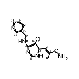 C/C(=C\C1NC=NC(NCc2cccnc2)=C1Cl)ON